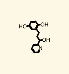 Oc1ccc(O)c(CCC(O)c2ccccn2)c1